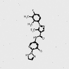 Cc1c(F)ccc(-n2ncc(C(=O)Nc3cnc(N4N=CCN4)c(Cl)c3)c2C(F)(F)F)c1C